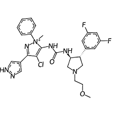 COCCN1C[C@@H](NC(=O)NC2=C(Cl)C(c3cn[nH]c3)=N[N+]2(C)c2ccccc2)[C@H](c2cc(F)cc(F)c2)C1